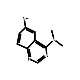 CN(C)c1ncnc2ccc([NH])cc12